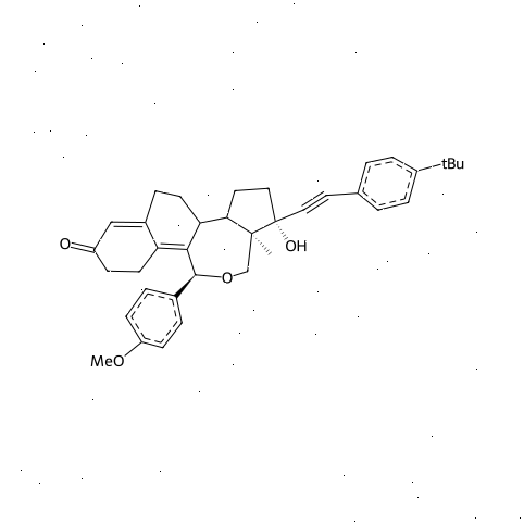 COc1ccc([C@@H]2OC[C@@]3(C)C(CC[C@@]3(O)C#Cc3ccc(C(C)(C)C)cc3)C3CCC4=CC(=O)CCC4=C32)cc1